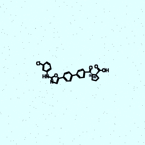 O=C(O)[C@H]1CCC[C@@H]1C(=O)c1ccc(-c2ccc(-c3cnc(Nc4cccc(Cl)c4)o3)cc2)cc1